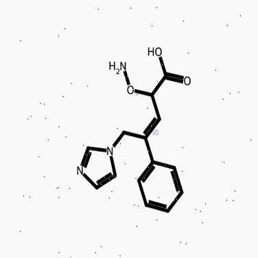 NOC(/C=C(\Cn1ccnc1)c1ccccc1)C(=O)O